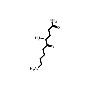 NC(=O)CC[C@H](N)C(=O)CCCC[AsH2]